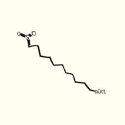 CCCCCCCCCCCCCCCCCCC=S(=O)=O